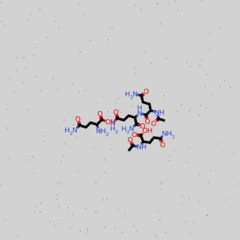 CC(=O)NC(CCC(N)=O)C(=O)NC(CCC(N)=O)C(N)=O.CC(=O)NC(CCC(N)=O)C(=O)O.NC(=O)CCC(N)C(=O)O